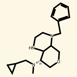 CN(CC1CC1)[C@H]1COCC2C1NCCN2Cc1ccccc1